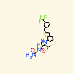 CC(C)c1c(C(=O)NCC(N)=O)cnn1-c1cccc2cc(Cc3cccc(C(F)(F)F)c3)sc12